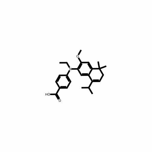 CCN(c1ccc(C(=O)O)cc1)c1cc2c(cc1OC)C(C)(C)CC=C2C(C)C